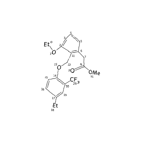 CCOc1cccc(CC(=O)OC)c1COc1ccc(CC)cc1C(F)(F)F